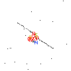 CCCCCCCCCCCCCCCCCCOC(=O)C(C)SC(C)C(=O)OCCCCCCCCCCCCCCCCCC.COP(=S)(OC)Oc1ccc(C#N)cc1